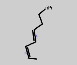 C/[C]=C\C=C\CCCCC